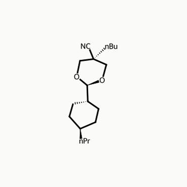 CCCC[C@]1(C#N)CO[C@@H]([C@H]2CC[C@H](CCC)CC2)OC1